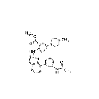 COC(=O)c1cc(N2CCN(C)CC2)ccc1Nc1ncc2cccc(-c3cccc(NC(C)=O)c3)c2n1